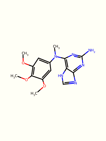 COc1cc(N(C)c2nc(N)nc3nc[nH]c23)cc(OC)c1OC